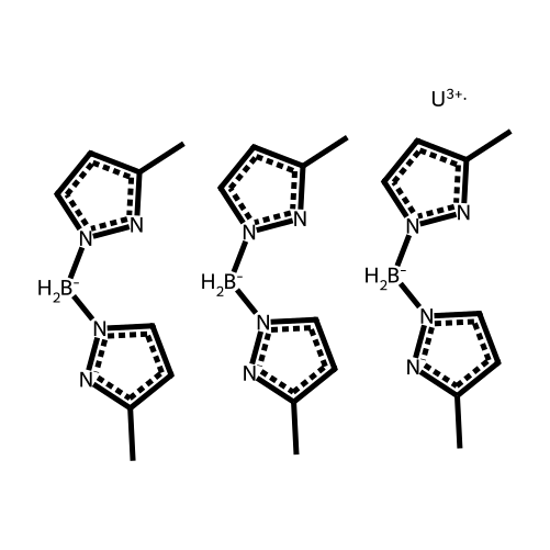 Cc1ccn([BH2-]n2ccc(C)n2)n1.Cc1ccn([BH2-]n2ccc(C)n2)n1.Cc1ccn([BH2-]n2ccc(C)n2)n1.[U+3]